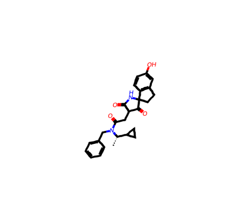 C[C@@H](C1CC1)N(Cc1ccccc1)C(=O)CC1C(=O)NC2(CCc3cc(O)ccc32)C1=O